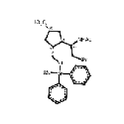 CC(=O)N[C@@H](CC(C)C)[C@@H]1C[C@@H](C(=O)O)C[C@H]1CO[Si](c1ccccc1)(c1ccccc1)C(C)(C)C